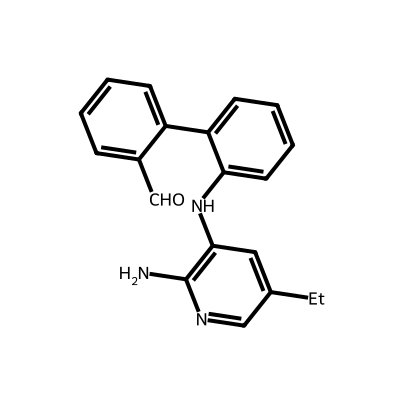 CCc1cnc(N)c(Nc2ccccc2-c2ccccc2C=O)c1